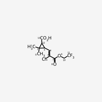 CC1(C)C(C=C(Cl)C(=O)OCC(F)(F)F)C1C(=O)O